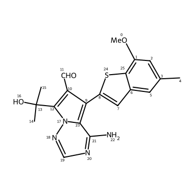 COc1cc(C)cc2cc(-c3c(C=O)c(C(C)(C)O)n4ncnc(N)c34)sc12